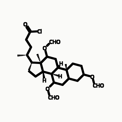 C[C@H](CCC(=O)Cl)[C@H]1CC[C@H]2[C@@H]3C(OC=O)CC4CC(OC=O)CC[C@]4(C)[C@H]3CC(OC=O)[C@]12C